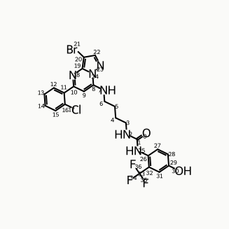 O=C(NCCCCNc1cc(-c2ccccc2Cl)nc2c(Br)cnn12)Nc1ccc(O)cc1C(F)(F)F